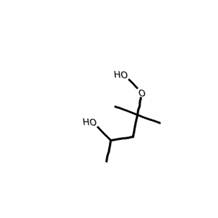 CC(O)CC(C)(C)OO